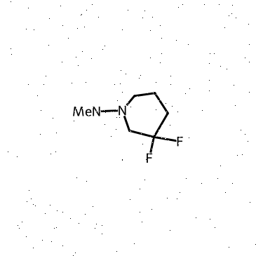 CNN1CCCC(F)(F)C1